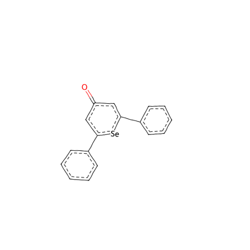 O=c1cc(-c2ccccc2)[se]c(-c2ccccc2)c1